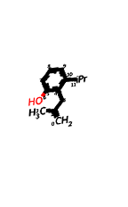 C=C(C)Cc1c(O)cccc1C(C)C